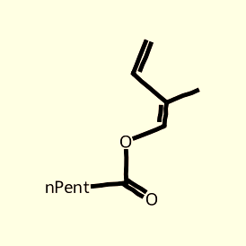 C=CC(C)=COC(=O)CCCCC